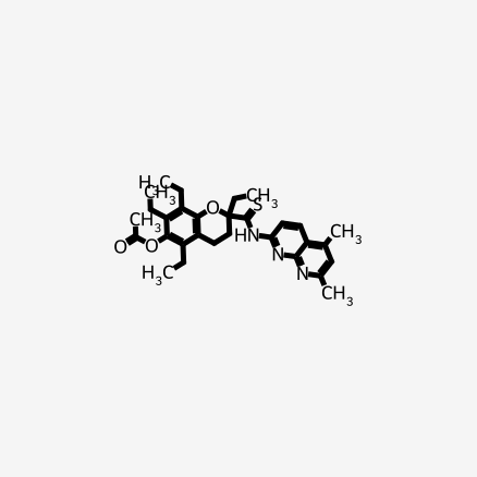 CCc1c(CC)c2c(c(CC)c1OC(C)=O)CCC(CC)(C(=S)Nc1ccc3c(C)cc(C)nc3n1)O2